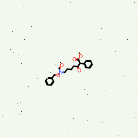 COC(=O)C(C(=O)CCCCN(C=O)OCc1ccccc1)c1ccccc1